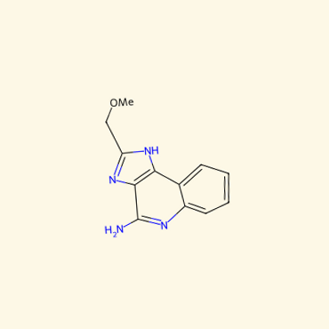 COCc1nc2c(N)nc3ccccc3c2[nH]1